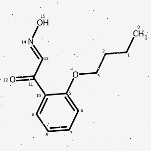 CCCCOc1ccccc1C(=O)C=NO